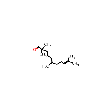 CC(C)=CCCC(C)CCCC(C)(C)C=O